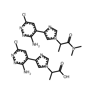 CC(C(=O)N(C)C)n1cnc(-c2cc(Cl)nnc2N)c1.CC(C(=O)O)n1cnc(-c2cc(Cl)nnc2N)c1